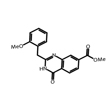 COC(=O)c1ccc2c(=O)[nH]c(Cc3ccccc3OC)nc2c1